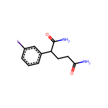 NC(=O)CCC(C(N)=O)c1cccc(I)c1